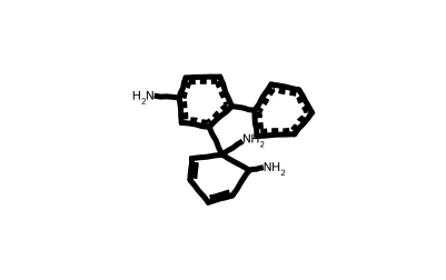 Nc1ccc(-c2ccccc2)c(C2(N)C=CC=CC2N)c1